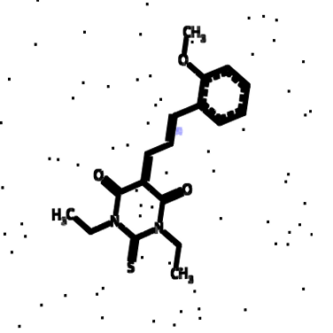 CCN1C(=O)C(=C/C=C/c2ccccc2OC)C(=O)N(CC)C1=S